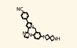 N#Cc1ccc(-c2cc3n(c2)Cc2cc(N4CC5(CNC5)C4)ccc2-n2ccnc2-3)cc1